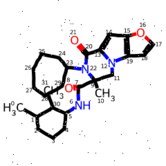 CC1CCCC(NC(=O)C2(C)Cn3c(cc4occc43)C(=O)N2C2CCCCCC2)C1C